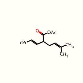 CCCC=CC(CC=C(C)C)C(=O)OC(C)=O